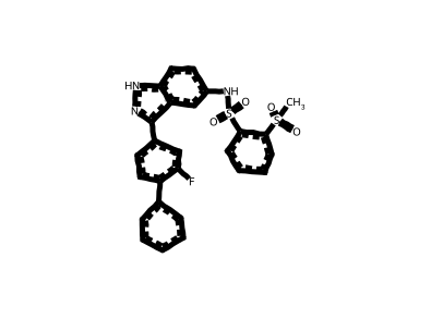 CS(=O)(=O)c1ccccc1S(=O)(=O)Nc1ccc2[nH]nc(-c3ccc(-c4ccccc4)c(F)c3)c2c1